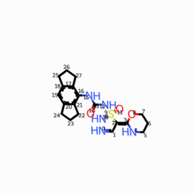 N=C/C(=C1\NCCCO1)[S@@](=N)(=O)NC(=O)Nc1c2c(cc3c1CCC3)CCC2